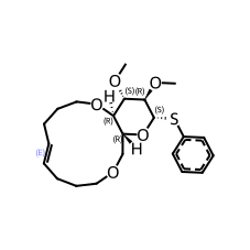 CO[C@@H]1[C@@H](OC)[C@H](Sc2ccccc2)O[C@@H]2COCCC/C=C/CCCO[C@@H]12